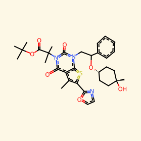 Cc1c(-c2ncco2)sc2c1c(=O)n(C(C)(C)C(=O)OC(C)(C)C)c(=O)n2CC(O[C@H]1CC[C@@](C)(O)CC1)c1ccccc1